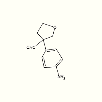 Nc1ccc(C2(C=O)CCOC2)cc1